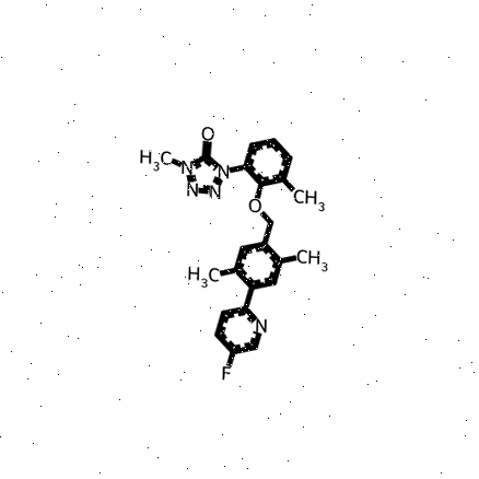 Cc1cc(-c2ccc(F)cn2)c(C)cc1COc1c(C)cccc1-n1nnn(C)c1=O